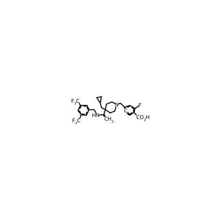 C=C(NCc1cc(C(F)(F)F)cc(C(F)(F)F)c1)C1(CC2CC2)CCN(Cc2ccc(C(=O)O)c(F)c2)CC1